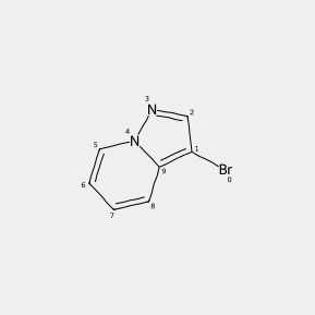 Brc1cnn2ccccc12